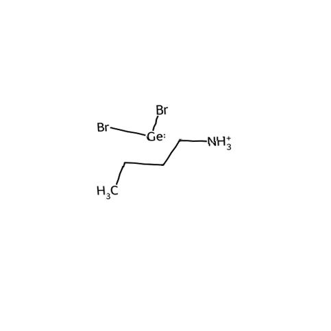 CCCC[NH3+].[Br][Ge][Br]